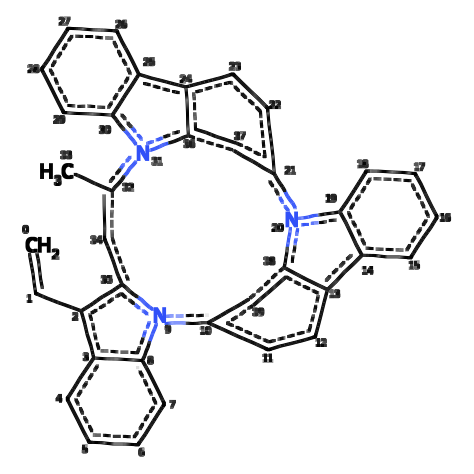 C=Cc1c2ccccc2n2c3ccc4c5ccccc5n(c5ccc6c7ccccc7n(c(C)cc12)c6c5)c4c3